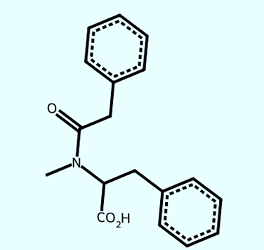 CN(C(=O)Cc1ccccc1)C(Cc1ccccc1)C(=O)O